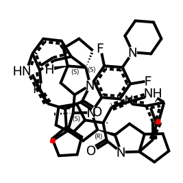 CC1C[C@H](C2CC3CCCC34c3ccc5[nH]c(nc5c3)[C](C3CCCC3)C(=O)N24)N(c2cc(F)c(N3CCCCC3)c(F)c2)[C@]1(C)C1C[C@@H]2CCC[C@@]23c2ccc4[nH]c(nc4c2)[C](C2CCCC2)C(=O)N13